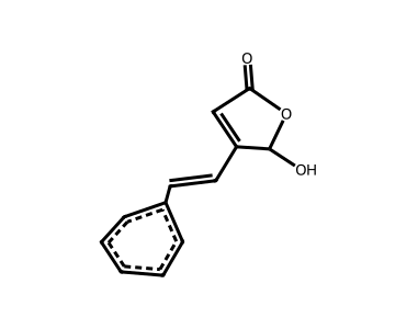 O=C1C=C(C=Cc2ccccc2)C(O)O1